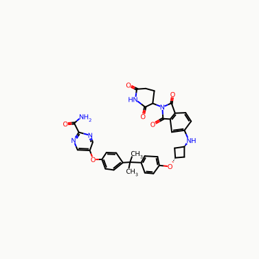 CC(C)(c1ccc(Oc2cnc(C(N)=O)nc2)cc1)c1ccc(O[C@H]2C[C@H](Nc3ccc4c(c3)C(=O)N(C3CCC(=O)NC3=O)C4=O)C2)cc1